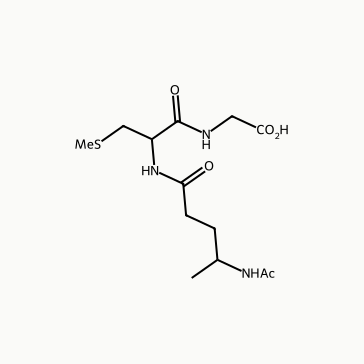 CSCC(NC(=O)CCC(C)NC(C)=O)C(=O)NCC(=O)O